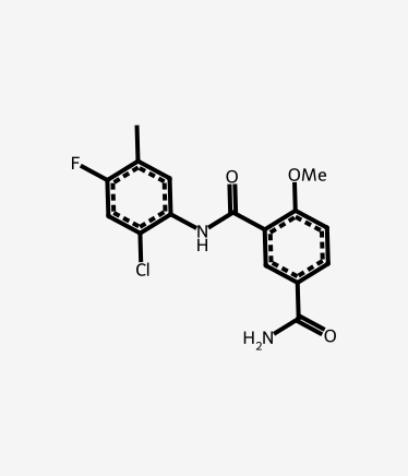 COc1ccc(C(N)=O)cc1C(=O)Nc1cc(C)c(F)cc1Cl